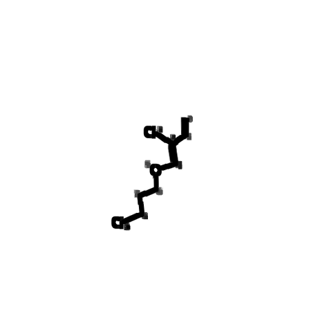 C=C/C(Cl)=C/OCCCCl